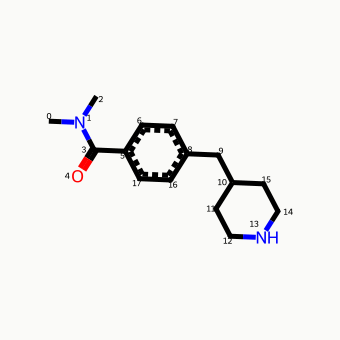 CN(C)C(=O)c1ccc(CC2CCNCC2)cc1